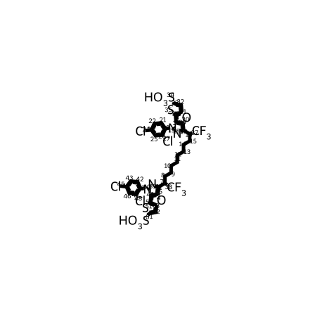 O=S(=O)(O)c1cc2oc3c(C(CCCCCCCCC(c4nn(-c5ccc(Cl)cc5Cl)c5c4oc4cc(S(=O)(=O)O)sc45)C(F)(F)F)C(F)(F)F)nn(-c4ccc(Cl)cc4Cl)c3c2s1